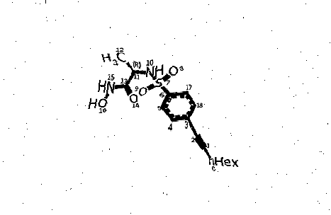 CCCCCCC#Cc1ccc(S(=O)(=O)N[C@H](C)C(=O)NO)cc1